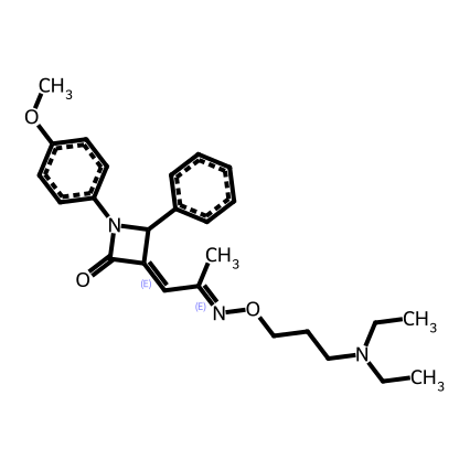 CCN(CC)CCCO/N=C(C)/C=C1/C(=O)N(c2ccc(OC)cc2)C1c1ccccc1